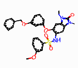 COc1cccc(S(=O)(=O)Nc2cc3c(cc2Oc2cccc(OCc4ccccc4)c2)n(C)c(=O)n3C)c1